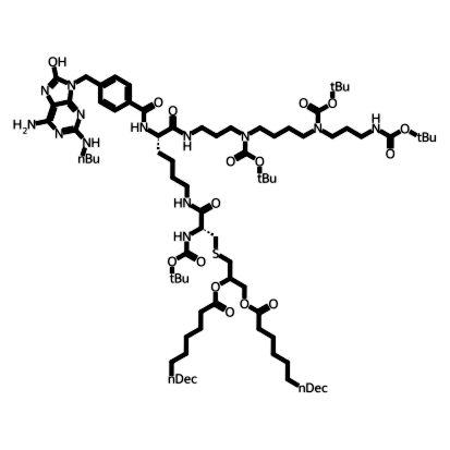 CCCCCCCCCCCCCCCC(=O)OCC(CSC[C@H](NC(=O)OC(C)(C)C)C(=O)NCCCC[C@H](NC(=O)c1ccc(Cn2c(O)nc3c(N)nc(NCCCC)nc32)cc1)C(=O)NCCCN(CCCCN(CCCNC(=O)OC(C)(C)C)C(=O)OC(C)(C)C)C(=O)OC(C)(C)C)OC(=O)CCCCCCCCCCCCCCC